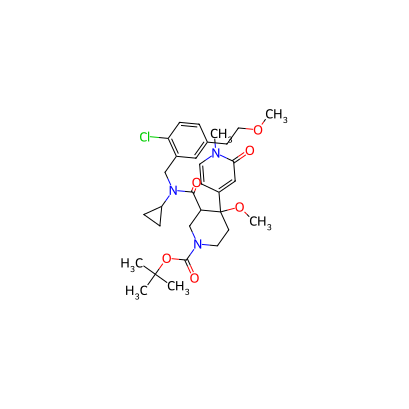 COCCc1ccc(Cl)c(CN(C(=O)C2CN(C(=O)OC(C)(C)C)CCC2(OC)c2ccn(C)c(=O)c2)C2CC2)c1